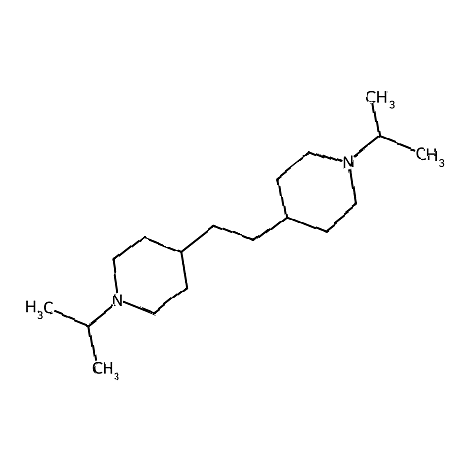 CC(C)N1CCC(CCC2CCN(C(C)C)CC2)CC1